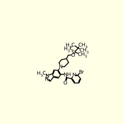 Cn1ncc2cc(NC(=O)c3cccc(Br)n3)c(N3CCC(CO[Si](C)(C)C(C)(C)C)CC3)cc21